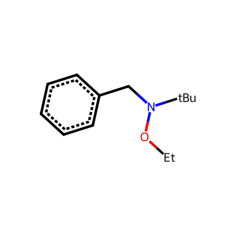 CCON(Cc1ccccc1)C(C)(C)C